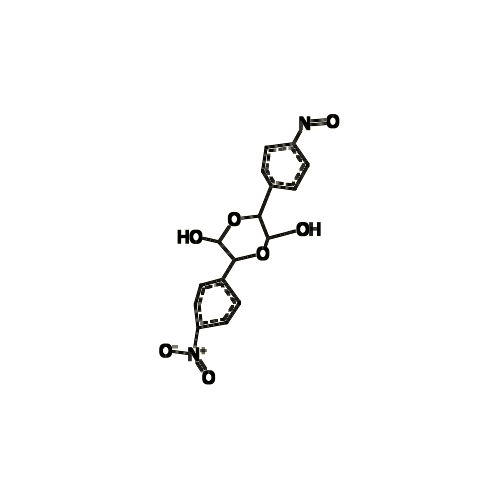 O=Nc1ccc(C2OC(O)C(c3ccc([N+](=O)[O-])cc3)OC2O)cc1